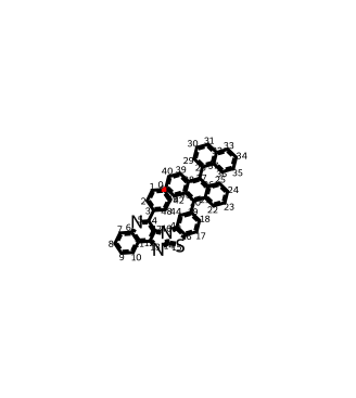 c1ccc(-c2nc3ccccc3c3nc4sc5ccc(-c6c7ccccc7c(-c7cccc8ccccc78)c7ccccc67)cc5n4c23)cc1